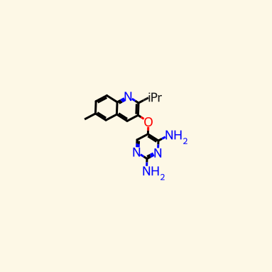 Cc1ccc2nc(C(C)C)c(Oc3cnc(N)nc3N)cc2c1